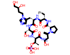 C=C(CCO)N1CCC[C@H]1C(=O)N[C@@H](CC(C)C)C(=O)N[C@@H](Cc1cncn1CC[C@H](O)CO)C(=O)N[C@@H](CO)C(=O)N[C@H](C(N)=O)[C@@H](C)OP(=O)(O)O